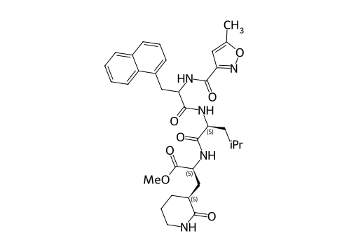 COC(=O)[C@H](C[C@@H]1CCCNC1=O)NC(=O)[C@H](CC(C)C)NC(=O)C(Cc1cccc2ccccc12)NC(=O)c1cc(C)on1